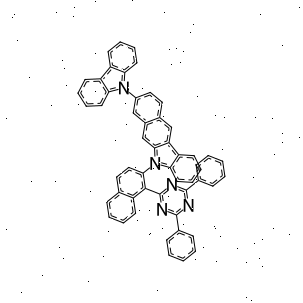 c1ccc(-c2nc(-c3ccccc3)nc(-c3c(-n4c5ccccc5c5cc6ccc(-n7c8ccccc8c8ccccc87)cc6cc54)ccc4ccccc34)n2)cc1